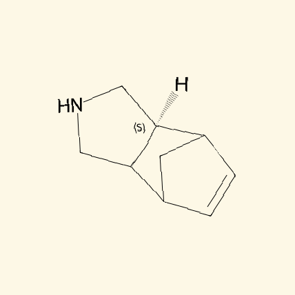 C1=CC2CC1C1CNC[C@@H]21